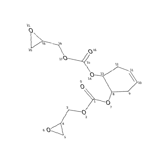 O=C(OCC1CO1)OC1CC=CCC1OC(=O)OCC1CO1